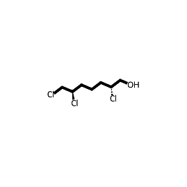 OC[C@H](Cl)CCC[C@@H](Cl)CCl